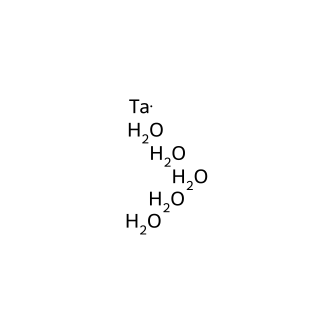 O.O.O.O.O.[Ta]